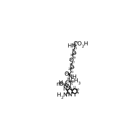 CCCCc1nc2c(N)nc3ccccc3c2n1CC(C)(C)CNC(=O)CCOCCOCCOCCNC(=O)O